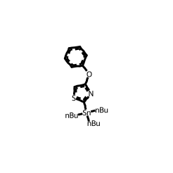 CCC[CH2][Sn]([CH2]CCC)([CH2]CCC)[c]1nc(Oc2ccccc2)cs1